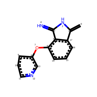 C=C1NC(=N)c2c(Oc3cccnc3)cccc21